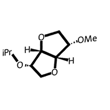 CO[C@H]1CO[C@@H]2[C@H]1OC[C@@H]2OC(C)C